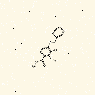 COC(=O)c1ccc(OCc2ccccc2)c(Cl)c1C